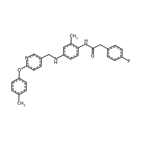 Cc1ccc(Oc2ccc(CNc3ccc(NC(=O)Cc4ccc(F)cc4)c(C)c3)cn2)cc1